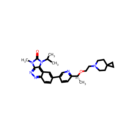 CC(C)n1c(=O)n(C)c2nnc3ccc(-c4ccc([C@@H](C)OCCN5CCC6(CC5)CC6)nc4)cc3c21